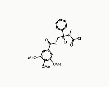 CC[C@@](COC(=O)c1cc(OC)c(OC)c(OC)c1)(c1ccccc1)N(C)C(=O)Cl